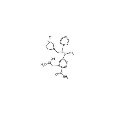 C[C@@H](O)Cc1cc(N(C)[C@H](CN2CC[C@H](Cl)C2)c2ccccc2)ccc1C(N)=O